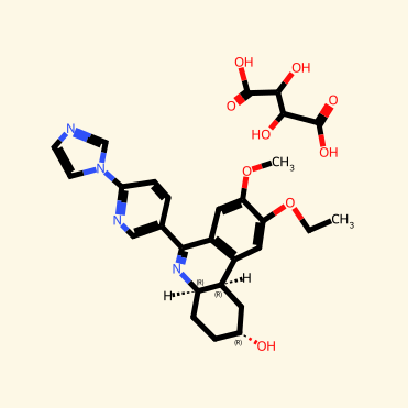 CCOc1cc2c(cc1OC)C(c1ccc(-n3ccnc3)nc1)=N[C@@H]1CC[C@@H](O)C[C@H]21.O=C(O)C(O)C(O)C(=O)O